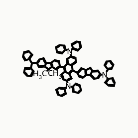 CC1(C)c2cc(-c3c4ccc(N(c5ccccc5)c5ccccc5)cc4c(-c4ccc5c(c4)Cc4cc(N(c6ccccc6)c6ccccc6)ccc4-5)c4ccc(N(c5ccccc5)c5ccccc5)cc34)ccc2-c2ccc(C(c3ccccc3)c3ccccc3)cc21